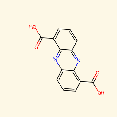 O=C(O)c1cccc2nc3c(C(=O)O)cccc3nc12